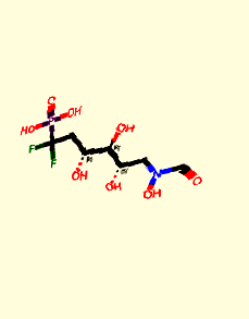 O=CN(O)C[C@H](O)[C@H](O)[C@H](O)CC(F)(F)P(=O)(O)O